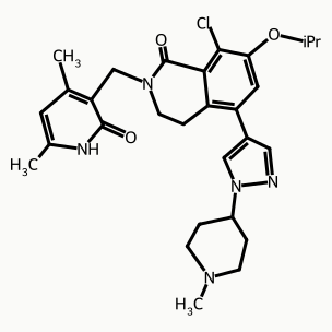 Cc1cc(C)c(CN2CCc3c(-c4cnn(C5CCN(C)CC5)c4)cc(OC(C)C)c(Cl)c3C2=O)c(=O)[nH]1